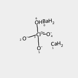 [BaH2].[CaH2].[O-][Cl+3]([O-])([O-])O